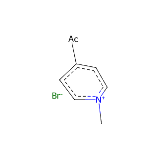 CC(=O)c1cc[n+](C)cc1.[Br-]